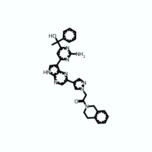 CC(O)(c1ccccc1)c1cc(-c2c[nH]c3ncc(-c4cnn(CC(=O)N5CCc6ccccc6C5)c4)nc23)nc(N)n1